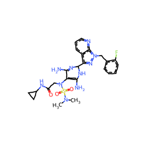 CN(C)S(=O)(=O)N(CC(=O)NC1CC1)C1=C(N)NC(c2nn(Cc3ccccc3F)c3ncccc23)N=C1N